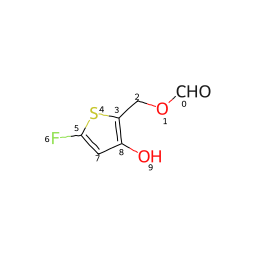 O=COCc1sc(F)cc1O